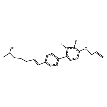 C=CCOc1ccc(-c2ccc(C=CCCCC(C)O)cn2)c(F)c1F